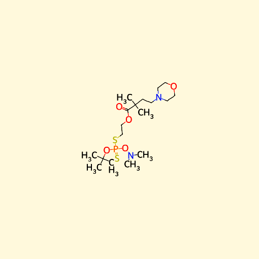 CN(C)OP(=S)(OC(C)(C)C)SCCOC(=O)C(C)(C)CCN1CCOCC1